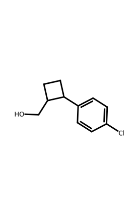 OCC1CCC1c1ccc(Cl)cc1